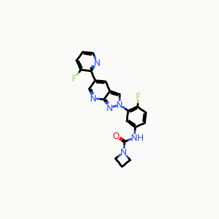 O=C(Nc1ccc(F)c(-n2cc3cc(-c4ncccc4F)cnc3n2)c1)N1CCC1